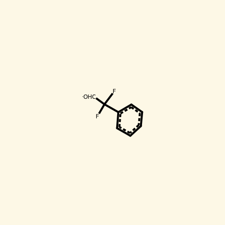 O=[C]C(F)(F)c1ccccc1